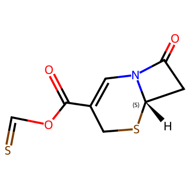 O=C(OC=S)C1=CN2C(=O)C[C@@H]2SC1